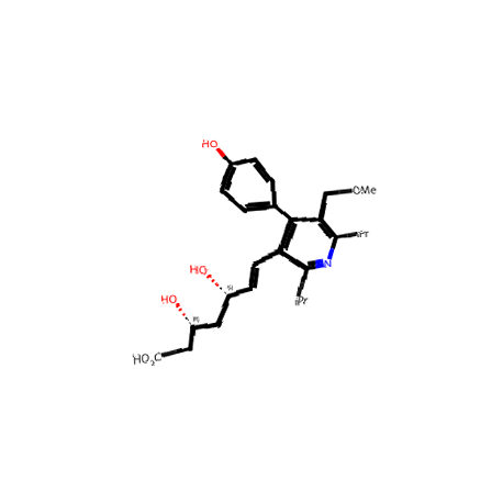 COCc1c(C(C)C)nc(C(C)C)c(C=C[C@@H](O)C[C@@H](O)CC(=O)O)c1-c1ccc(O)cc1